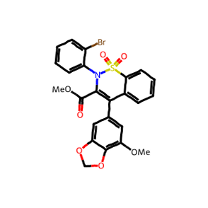 COC(=O)C1=C(c2cc(OC)c3c(c2)OCO3)c2ccccc2S(=O)(=O)N1c1ccccc1Br